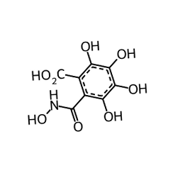 O=C(O)c1c(O)c(O)c(O)c(O)c1C(=O)NO